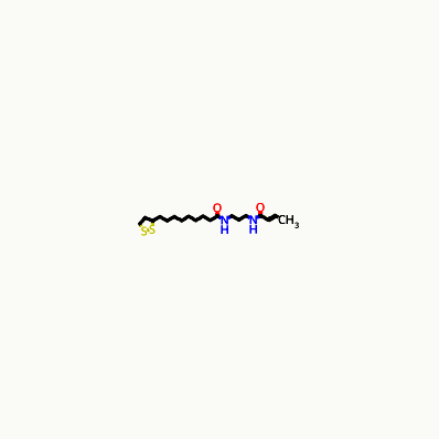 CC=CC(=O)NCCCNC(=O)CCCCCCCCC1CCSS1